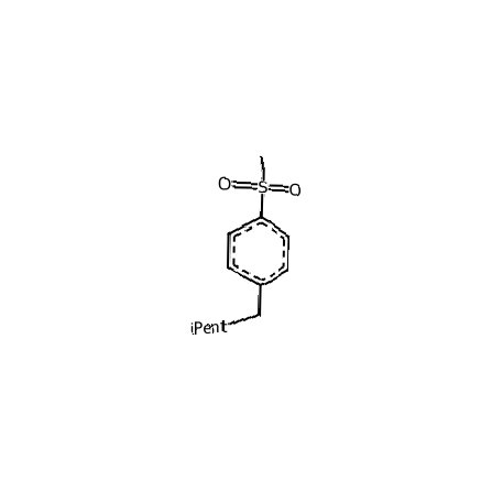 CCCC(C)Cc1ccc(S(C)(=O)=O)cc1